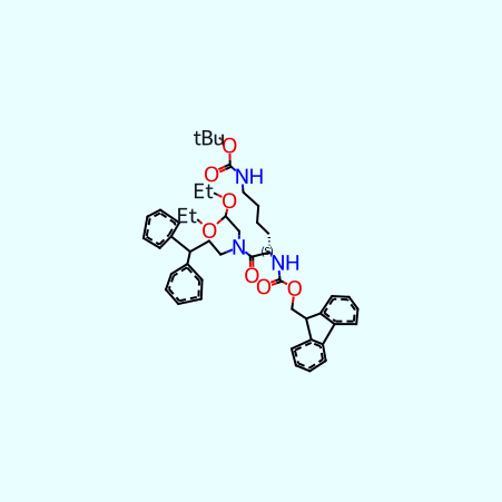 CCOC(CN(CCC(c1ccccc1)c1ccccc1)C(=O)[C@H](CCCCNC(=O)OC(C)(C)C)NC(=O)OCC1c2ccccc2-c2ccccc21)OCC